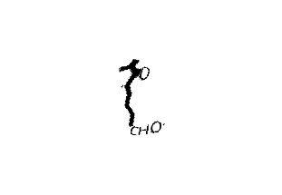 C=C(C)C(=O)[CH]CCCC[C]=O